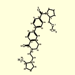 COCC1CCCN1C(=O)c1ccc(-c2ccc3c(c2)CCN(CCN2CCCC2C)C3=O)cc1